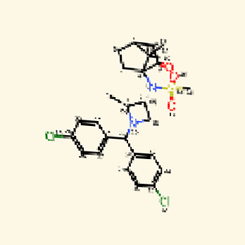 C[C@H]1[C@H](N(C23CCC(CC2=O)C3(C)C)S(C)(=O)=O)CN1C(c1ccc(Cl)cc1)c1ccc(Cl)cc1